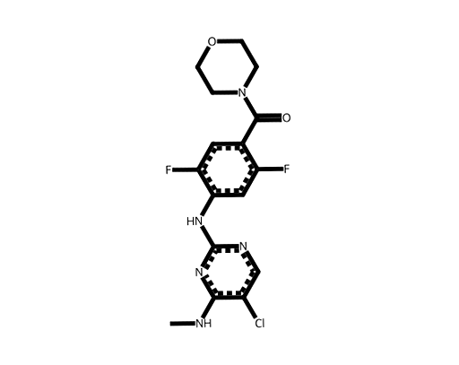 CNc1nc(Nc2cc(F)c(C(=O)N3CCOCC3)cc2F)ncc1Cl